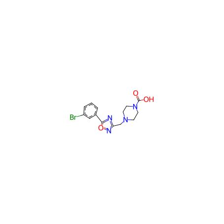 O=C(O)N1CCN(Cc2noc(-c3cccc(Br)c3)n2)CC1